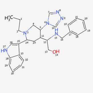 CCCN1CC(n2cnnc2)C(C(CO)NCc2ccccc2)CC1c1c[nH]c2ccccc12